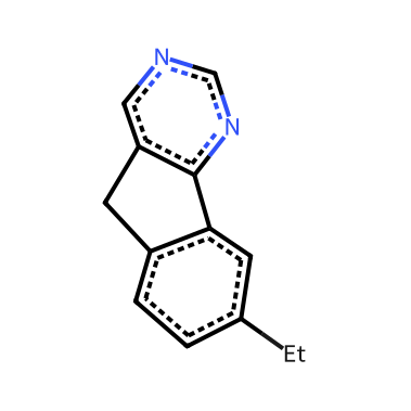 CCc1ccc2c(c1)-c1ncncc1C2